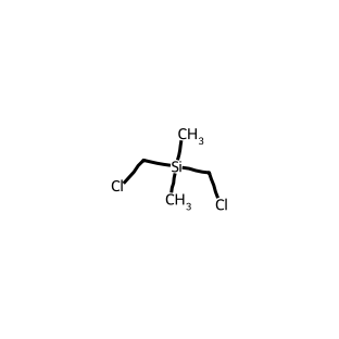 C[Si](C)(CCl)CCl